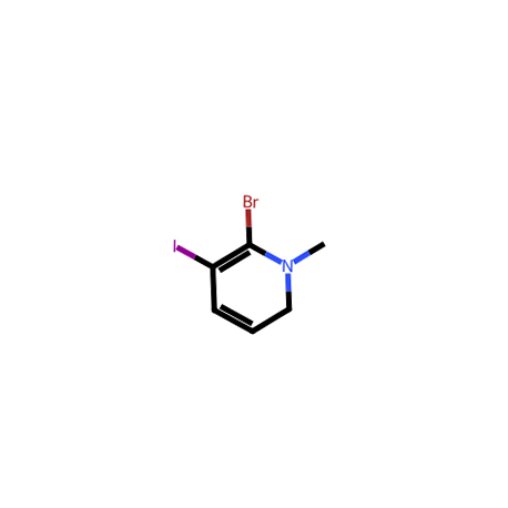 CN1CC=CC(I)=C1Br